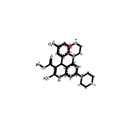 CC1=C(C(=O)OC(C)C)C(c2cccc([N+](=O)[O-])c2)c2c(nc(N3CCOCC3)nc2N2CCOCC2)N1